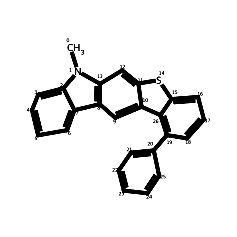 Cn1c2ccccc2c2cc3c(cc21)sc1cccc(-c2ccccc2)c13